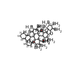 Bc1c(B)c(B)c2c(oc3c(B)c(B)c(-c4c5c(B)c(B)c(B)c(B)c5c(-c5cc6ccccc6c6ccccc56)c5c(B)c(B)c(B)c(B)c45)c(B)c32)c1B